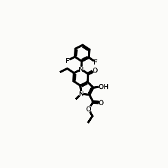 CCOC(=O)c1c(O)c2c(=O)n(-c3c(F)cccc3F)c(CC)cc2n1C